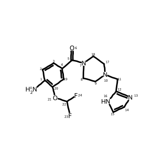 Nc1ccc(C(=O)N2CCN(Cc3ncc[nH]3)CC2)cc1OC(F)F